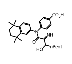 CCCCCC(O)C(=N)C(=O)N(c1ccc(C(=O)O)cc1)c1ccc2c(c1)C(C)(C)CCC2(C)C